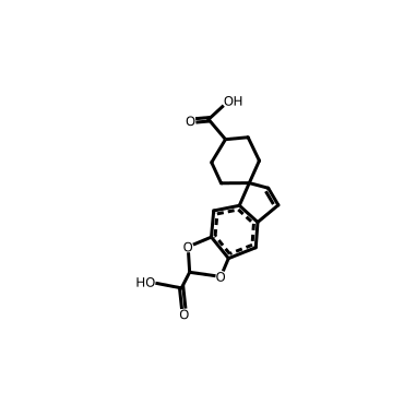 O=C(O)C1CCC2(C=Cc3cc4c(cc32)OC(C(=O)O)O4)CC1